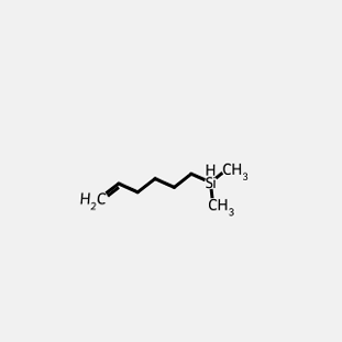 C=CCCCC[SiH](C)C